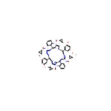 COc1cc(OC)cc(-c2c3nc(c(-c4c(NC(=O)[C@H]5CC5(C)C)cccc4NC(=O)[C@@H]4CC4(C)C)c4ccc([nH]4)c(-c4cc(OC)cc(OC)c4)c4nc(c(-c5c(NC(=O)[C@H]6CC6(C)C)cccc5NC(=O)[C@@H]5CC5(C)C)c5ccc2[nH]5)C=C4)C=C3)c1